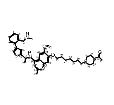 CNCc1ccccc1-c1csc(C(C)Nc2nc(C)nc3cc(OCCCCCCCN4CCN(C(C)=O)CC4)c(OC)cc23)c1